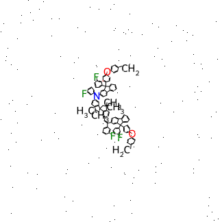 C=Cc1ccc(Oc2ccc(C3(c4cccc(F)c4)c4ccccc4-c4ccc(/C(=C\c5ccc6c(c5)C5(CC6(C)C)CC(C)(C)c6ccc(N(c7cccc(F)c7)c7ccc8c(c7)C(c7ccc(Oc9ccc(C=C)cc9)cc7)(c7cccc(F)c7)c7ccccc7-8)cc65)c5cccc(F)c5)cc43)cc2)cc1